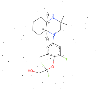 Cc1cc(N2CC(C)(C)N[C@@H]3CCCC[C@@H]32)cc(F)c1OC(F)(F)CO